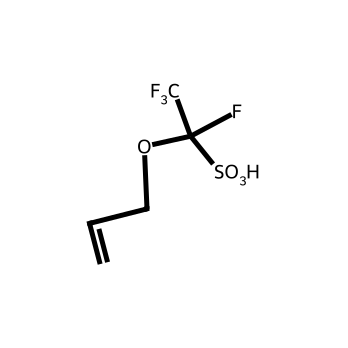 C=CCOC(F)(C(F)(F)F)S(=O)(=O)O